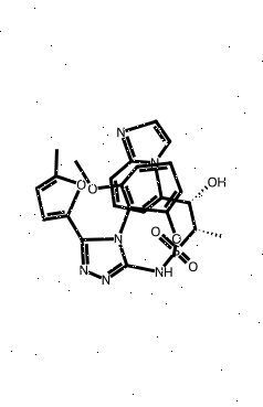 COc1cccc(OC)c1-n1c(NS(=O)(=O)[C@@H](C)[C@@H](O)c2cccc3nccn23)nnc1-c1ccc(C)o1